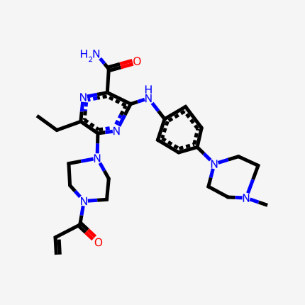 C=CC(=O)N1CCN(c2nc(Nc3ccc(N4CCN(C)CC4)cc3)c(C(N)=O)nc2CC)CC1